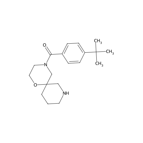 CC(C)(C)c1ccc(C(=O)N2CCOC3(CCCNC3)C2)cc1